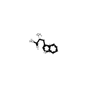 C[C@H](Cc1csc2ccccc12)C(=O)O